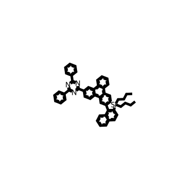 CCCC[Si]1(CCCC)c2cc3c4ccccc4c4cc(-c5nc(-c6ccccc6)nc(-c6ccccc6)n5)ccc4c3cc2-c2c1ccc1ccccc21